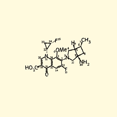 COc1c(N2C[C@@H]3[C@@H](C)C[C@]3(N)C2)c(F)cc2c(=O)c(C(=O)O)cn([C@@H]3C[C@@H]3F)c12